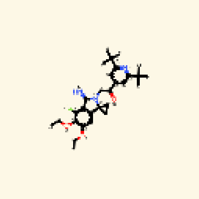 CCOc1cc2c(c(F)c1OCC)C(=N)N(CC(=O)c1cc(C(C)(C)C)nc(C(C)(C)C)c1)C21CC1